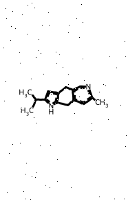 Cc1cc2c(cn1)Cc1cc(C(C)C)[nH]c1C2